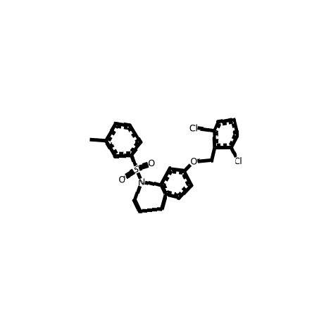 Cc1cccc(S(=O)(=O)N2CCCc3ccc(OCc4c(Cl)cccc4Cl)cc32)c1